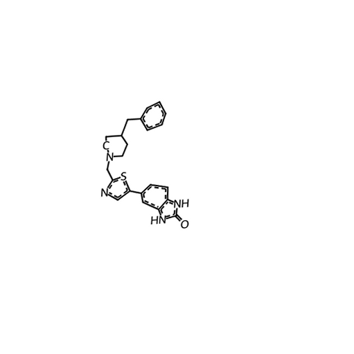 O=c1[nH]c2ccc(-c3cnc(CN4CCC(Cc5ccccc5)CC4)s3)cc2[nH]1